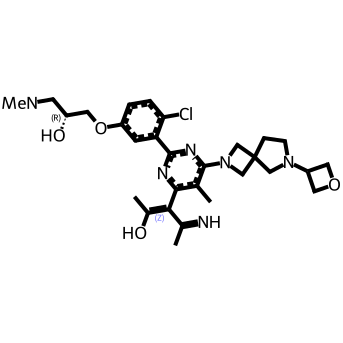 CNC[C@@H](O)COc1ccc(Cl)c(-c2nc(/C(C(C)=N)=C(\C)O)c(C)c(N3CC4(CCN(C5COC5)C4)C3)n2)c1